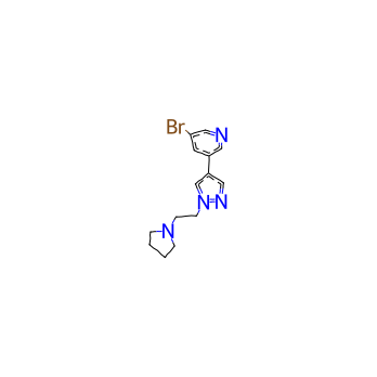 Brc1cncc(-c2cnn(CCN3CCCC3)c2)c1